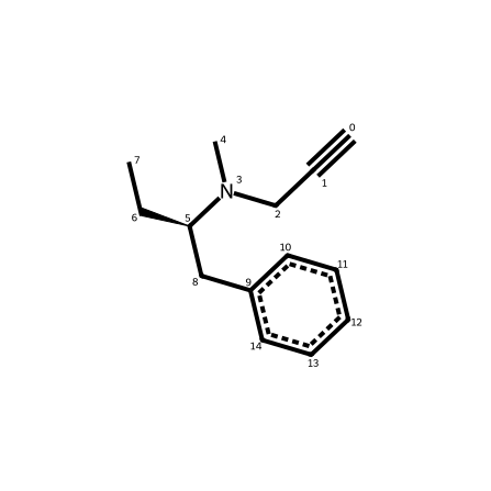 C#CCN(C)[C@H](CC)Cc1ccccc1